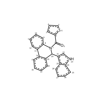 O=C(c1cccs1)N1c2ccccc2-c2ccccc2C1c1c[nH]c2ccccc12